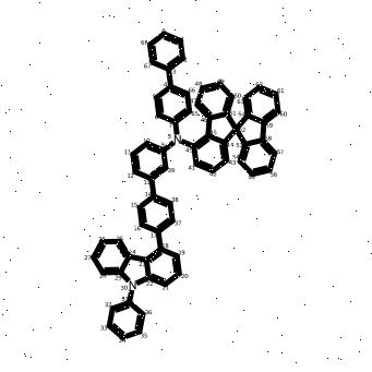 c1ccc(-c2ccc(N(c3cccc(-c4ccc(-c5cccc6c5c5ccccc5n6-c5ccccc5)cc4)c3)c3cccc4c3-c3ccccc3C43c4ccccc4-c4ccccc43)cc2)cc1